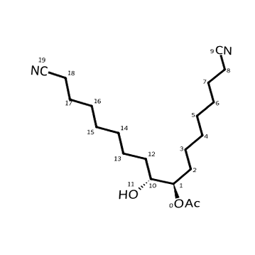 CC(=O)O[C@H](CCCCCCCC#N)[C@H](O)CCCCCCCC#N